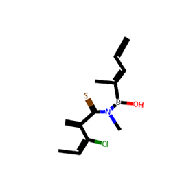 C=C/C=C(\C)B(O)N(C)C(=S)C(=C)/C(Cl)=C\C